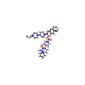 Cc1ccc(CC(OC(=O)N2CCC(N3CCc4ccccc4NC3=O)CC2)C(=O)N2CCC(N3CCN(C)CC3)CC2)cc1Br